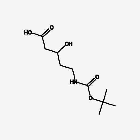 CC(C)(C)OC(=O)NCCC(O)CC(=O)O